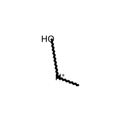 CCCCCCCCCCCC[N+](C)(C)CCCCCCCCCCCCCCCCCCCCO